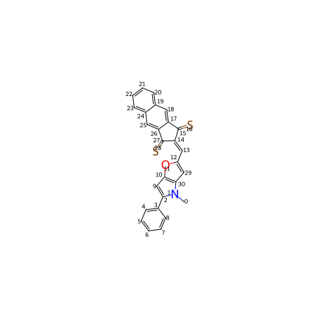 Cn1c(-c2ccccc2)cc2oc(C=C3C(=S)c4cc5ccccc5cc4C3=S)cc21